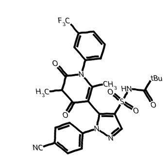 CC1=C(c2c(S(=O)(=O)NC(=O)C(C)(C)C)cnn2-c2ccc(C#N)cc2)C(=O)C(C)C(=O)N1c1cccc(C(F)(F)F)c1